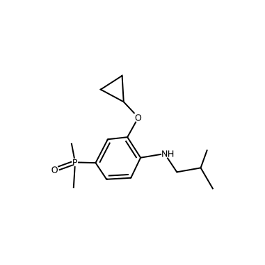 CC(C)CNc1ccc(P(C)(C)=O)cc1OC1CC1